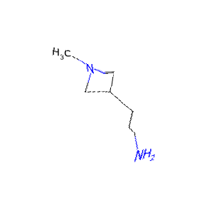 CN1CC(CCN)C1